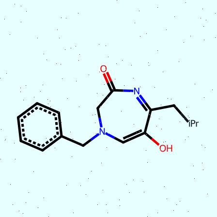 CC(C)CC1=NC(=O)CN(Cc2ccccc2)C=C1O